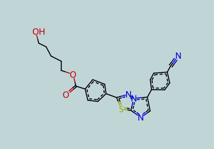 N#Cc1ccc(-c2cnc3sc(-c4ccc(C(=O)OCCCCCO)cc4)nn23)cc1